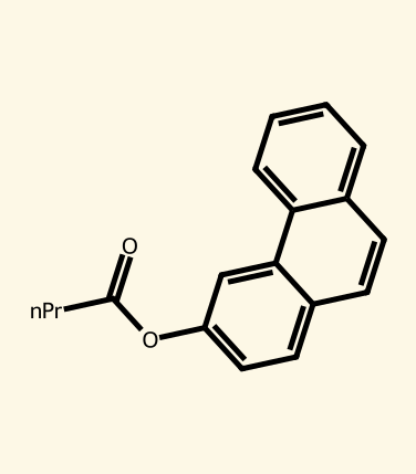 CCCC(=O)Oc1ccc2ccc3ccccc3c2c1